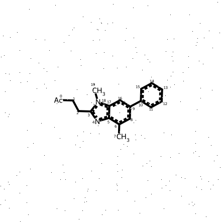 CC(=O)CCc1nc2c(C)cc(-c3ccccc3)cc2n1C